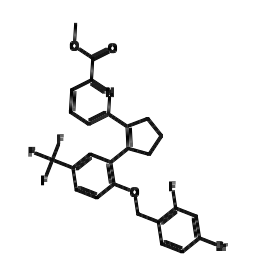 COC(=O)c1cccc(C2=C(c3cc(C(F)(F)F)ccc3OCc3ccc(Br)cc3F)CCC2)n1